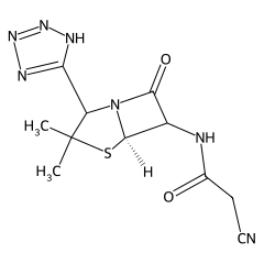 CC1(C)S[C@@H]2C(NC(=O)CC#N)C(=O)N2C1c1nnn[nH]1